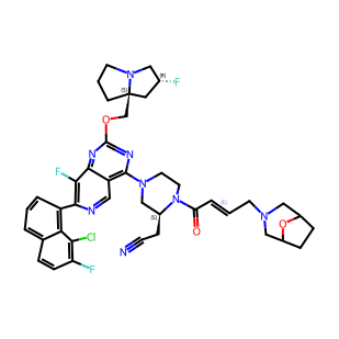 N#CC[C@H]1CN(c2nc(OC[C@@]34CCCN3C[C@H](F)C4)nc3c(F)c(-c4cccc5ccc(F)c(Cl)c45)ncc23)CCN1C(=O)/C=C/CN1CC2CCC(C1)O2